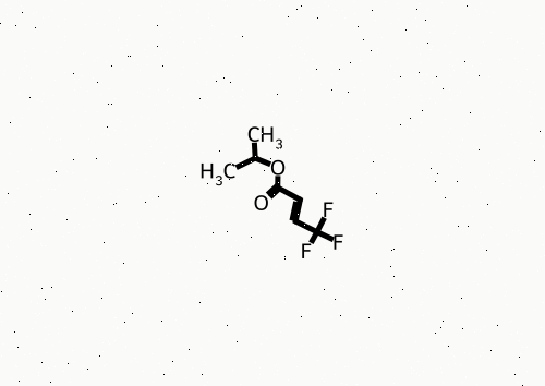 CC(C)OC(=O)C=CC(F)(F)F